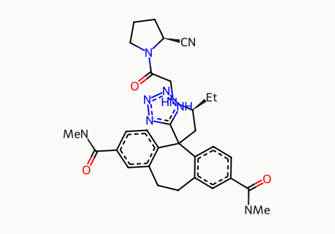 CC[C@@H](CC1(c2nnn[nH]2)c2ccc(C(=O)NC)cc2CCc2cc(C(=O)NC)ccc21)NCC(=O)N1CCC[C@H]1C#N